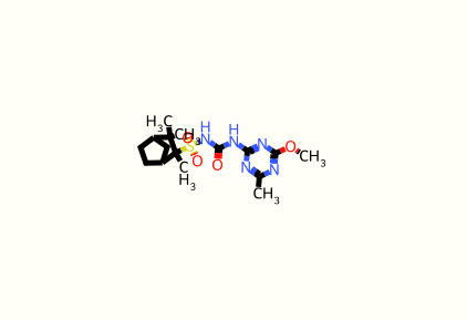 COc1nc(C)nc(NC(=O)NS(=O)(=O)C2(C)C3CCC(C3)C2(C)C)n1